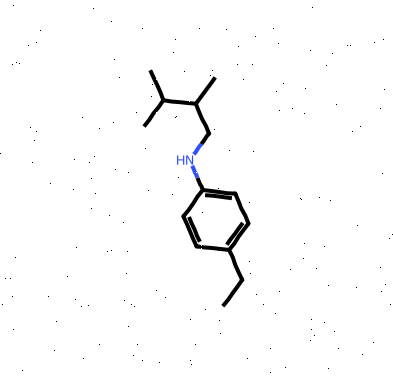 CCc1ccc(NCC(C)C(C)C)cc1